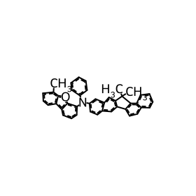 Cc1cccc2c1oc1c(N(c3ccccc3)c3ccc4cc5c(cc4c3)C(C)(C)c3c-5ccc4ccccc34)cccc12